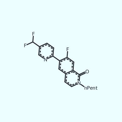 CCCCCn1ccc2cc(-c3ccc(C(F)F)cn3)c(F)cc2c1=O